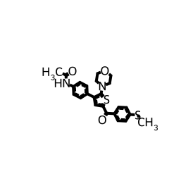 CSc1ccc(C(=O)c2cc(-c3ccc(NC(C)=O)cc3)c(N3CCOCC3)s2)cc1